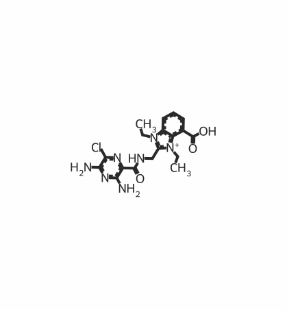 CCn1c(CNC(=O)c2nc(Cl)c(N)nc2N)[n+](CC)c2c(C(=O)O)cccc21